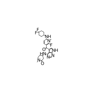 CN1CCC(Nc2ncnc3[nH]cc(C(=O)C4=C(F)N(C)C(NC5CCC(F)(F)CC5)C=C4)c23)CC1=O